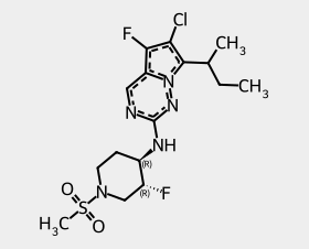 CCC(C)c1c(Cl)c(F)c2cnc(N[C@@H]3CCN(S(C)(=O)=O)C[C@H]3F)nn12